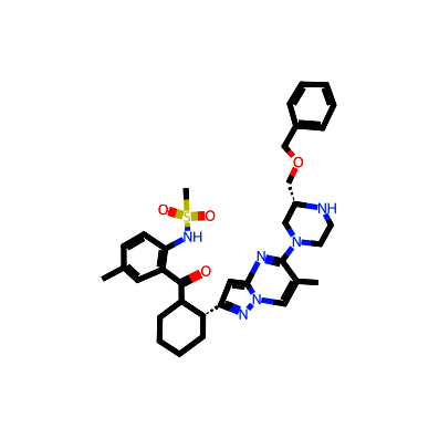 Cc1ccc(NS(C)(=O)=O)c(C(=O)C2CCCC[C@H]2c2cc3nc(N4CCN[C@@H](COCc5ccccc5)C4)c(C)cn3n2)c1